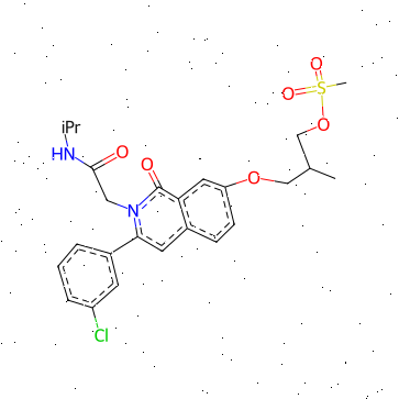 CC(COc1ccc2cc(-c3cccc(Cl)c3)n(CC(=O)NC(C)C)c(=O)c2c1)COS(C)(=O)=O